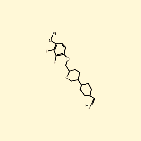 C=CC1CCC(C2CCC(COc3ccc(OCC)c(F)c3F)OC2)CC1